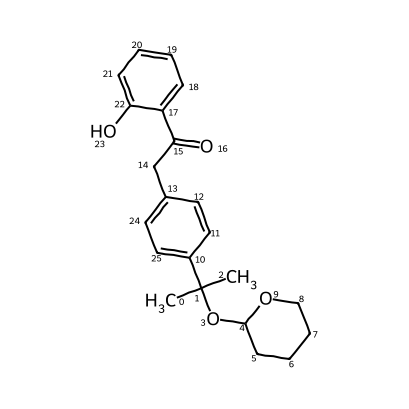 CC(C)(OC1CCCCO1)c1ccc(CC(=O)c2ccccc2O)cc1